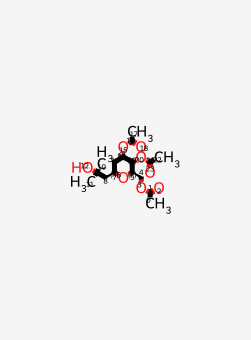 CC(=O)OC[C@H]1O[C@@H](CC(C)(C)O)C[C@@H](OC(C)=O)[C@H]1OC(C)=O